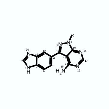 Cn1nc(-c2ccc3[nH]cnc3c2)c2c(N)ncnc21